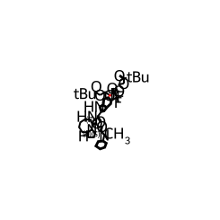 CN(C(=O)[C@@H]1CC[C@@H]2CCCC[C@H](NC(=O)c3cc4cc(C(F)(F)P(=O)(OCOC(=O)C(C)(C)C)OCOC(=O)C(C)(C)C)ccc4[nH]3)C(=O)N21)c1ccccc1